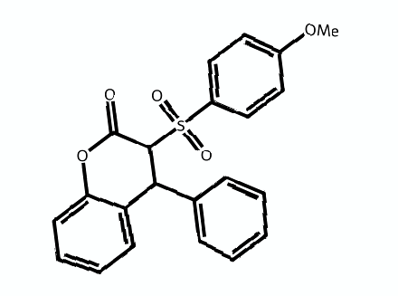 COc1ccc(S(=O)(=O)C2C(=O)Oc3ccccc3C2c2ccccc2)cc1